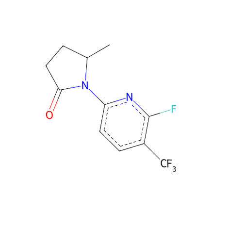 CC1CCC(=O)N1c1ccc(C(F)(F)F)c(F)n1